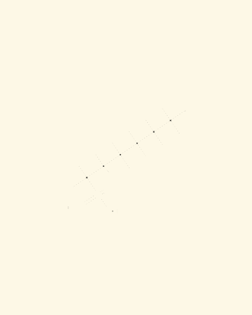 O=S(=O)(O)C(F)(F)C(F)(F)C(F)(F)C(F)(F)C(F)(F)C(F)(F)F.[LiH]